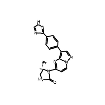 CC(C)[C@H]1CNC(=O)N1c1ccn2ncc(-c3ccc(-c4nc[nH]n4)cc3)c2n1